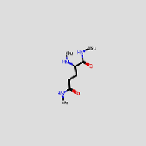 CC(C)NC(=O)CCC(NC(C)(C)C)C(=O)NC(C)(C)C